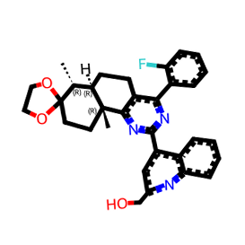 C[C@@H]1[C@H]2CCc3c(-c4ccccc4F)nc(-c4cc(CO)nc5ccccc45)nc3[C@]2(C)CCC12OCCO2